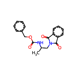 CC(CN1C(=O)c2ccccc2C1=O)NC(=O)OCc1ccccc1